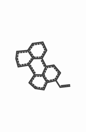 C=Cc1ccc2c3cccc4cccc(c5cccc1c52)c43